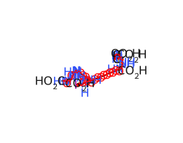 CN1CCN(CC(=O)O)CCN(CC(=O)O)CC(Cc2ccc(NC(=S)NCCCC[C@H](NC(=O)CCOCCOCCOCCOCCOCCOCCOCCOCCNC(=O)[C@H](CCCCNC(=O)CCCc3ccc(I)cc3)NC(=O)CCOCCOCCOCCn3cc(-c4cccc(NC(=O)NCCCC[C@H](NC(=O)NCCCC(=O)O)C(=O)O)c4)nn3)C(=O)O)cc2)N(C)CC1